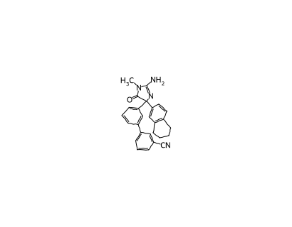 CN1C(=O)C(c2cccc(-c3cccc(C#N)c3)c2)(c2ccc3c(c2)CCCC3)N=C1N